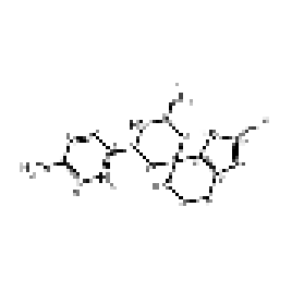 Cc1ccc([C@@H]2C[C@]3(C[C@H](C)N2)OCCc2cc(Cl)sc23)nn1